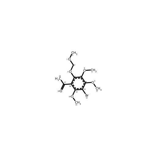 COCOc1c(OC)c(OC)c(Br)c(OC)c1C(C)=O